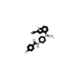 CN(c1cccc2sc(C#N)cc12)[C@H]1CC[C@@H](NC(=O)c2ccc(F)cc2)CC1